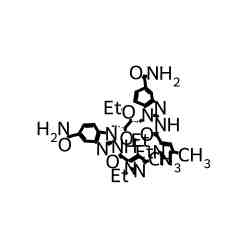 CCO[C@H](Cn1c(NC(=O)c2cc(C)nn2CC)nc2cc(C(N)=O)ccc21)[C@@H](Cn1c(NC(=O)c2cc(C)nn2CC)nc2cc(C(N)=O)ccc21)OCC